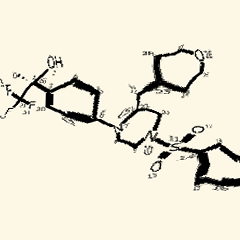 C[C@](O)(c1ccc(N2CCN(S(=O)(=O)c3ccccc3)C[C@@H]2CC2CCOCC2)cc1)C(F)(F)F